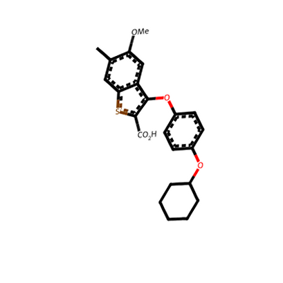 COc1cc2c(Oc3ccc(OC4CCCCC4)cc3)c(C(=O)O)sc2cc1C